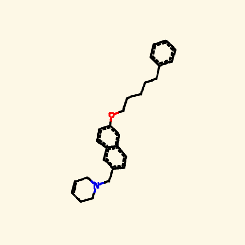 C1=CCN(Cc2ccc3cc(OCCCCCc4ccccc4)ccc3c2)CC1